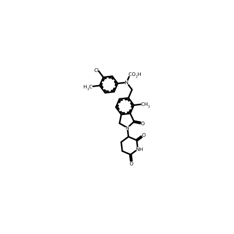 Cc1ccc(N(Cc2ccc3c(c2C)C(=O)N(C2CCC(=O)NC2=O)C3)C(=O)O)cc1Cl